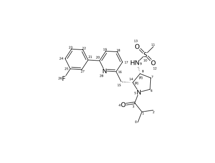 CC(C)C(=O)N1CC[C@@H](NS(C)(=O)=O)[C@H]1Cc1cccc(-c2cccc(F)c2)n1